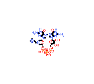 CN1CN([C@H]2CN(CC[N+](C)(C)C)C[C@@H](COP(=O)(O)OP(=O)(O)OP(=O)(O)OC[C@H]3O[C@@H](n4cnc5c(=O)[nH]c(N)nc54)[C@H](O)[C@@H]3O)O2)c2nc(N)[nH]c(=O)c21